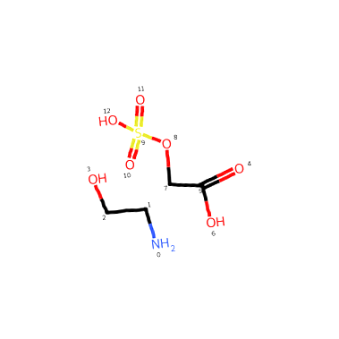 NCCO.O=C(O)COS(=O)(=O)O